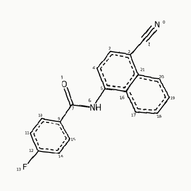 N#Cc1ccc(NC(=O)c2ccc(F)cc2)c2ccccc12